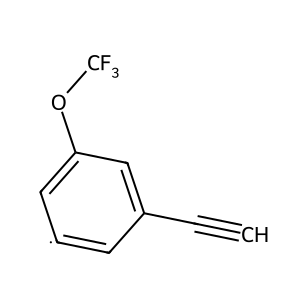 C#Cc1c[c]cc(OC(F)(F)F)c1